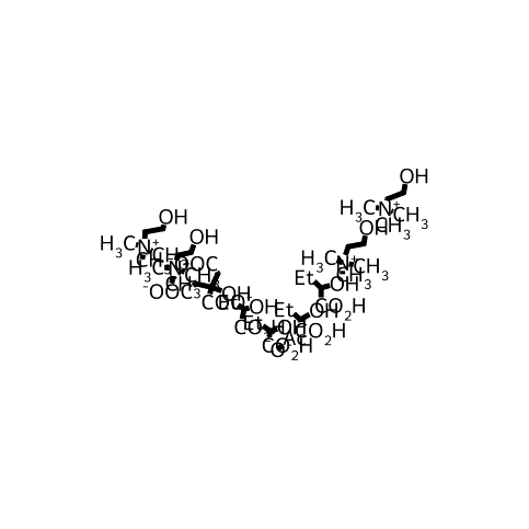 CC(=O)[O-].CCC(O)C(=O)O.CCC(O)C(=O)O.CCC(O)C(=O)O.CCC(O)C(=O)O.C[N+](C)(C)CCO.C[N+](C)(C)CCO.C[N+](C)(C)CCO.C[N+](C)(C)CCO.O=C([O-])CC(O)(CC(=O)[O-])C(=O)[O-]